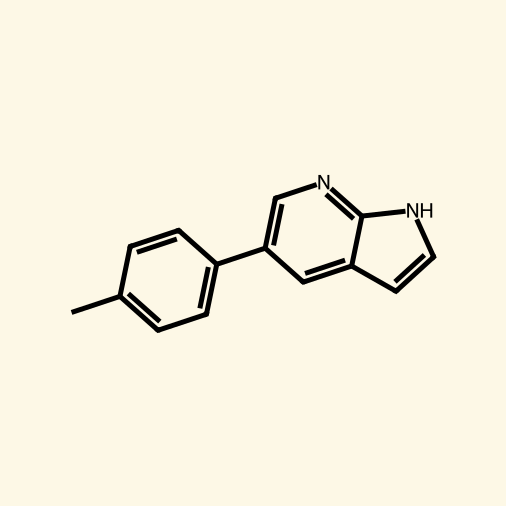 Cc1ccc(-c2cnc3[nH]ccc3c2)cc1